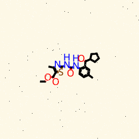 CCOC(=O)c1sc(NC(=O)Nc2ccc(C)cc2C(=O)C2CCCC2)nc1C